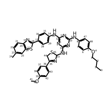 CCCCOc1ccc(Nc2nc(Nc3ccc(-c4nc5ccc(C)cc5s4)cc3)nc(NC3N=C(c4ccc(OC)cc4)CS3)n2)cc1